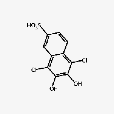 O=S(=O)(O)c1ccc2c(Cl)c(O)c(O)c(Cl)c2c1